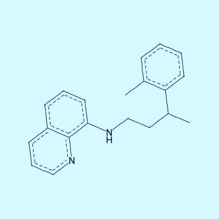 Cc1ccccc1C(C)CCNc1cccc2cccnc12